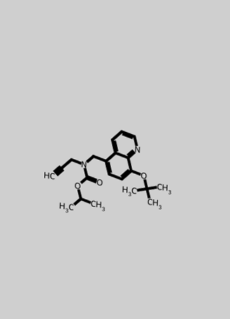 C#CCN(Cc1ccc(OC(C)(C)C)c2ncccc12)C(=O)OC(C)C